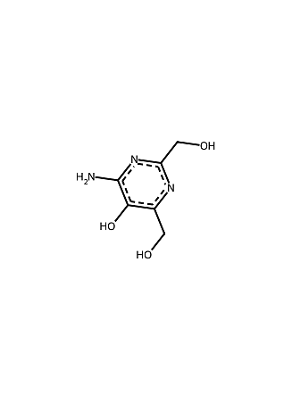 Nc1nc(CO)nc(CO)c1O